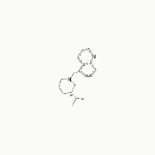 CC(C)[C@@H]1CCCN(Cc2cccc3ncccc23)C1